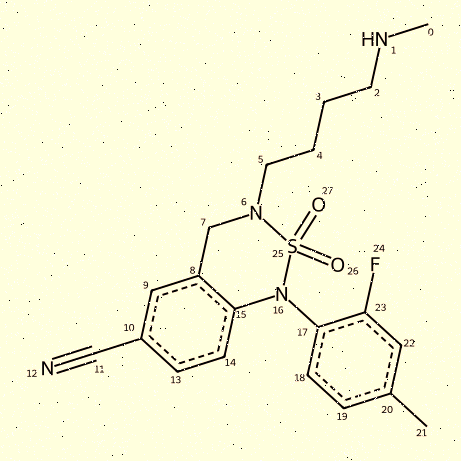 CNCCCCN1Cc2cc(C#N)ccc2N(c2ccc(C)cc2F)S1(=O)=O